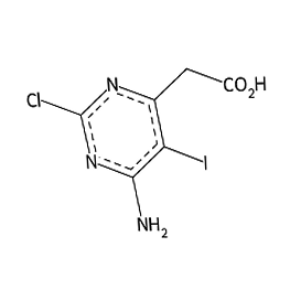 Nc1nc(Cl)nc(CC(=O)O)c1I